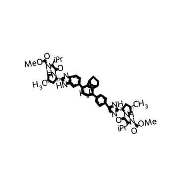 COC(=O)N[C@H](C(=O)N1C[C@@H](C)C[C@H]1c1ncc(-c2ccc(-c3ccc(-c4ccc5nc([C@@H]6C[C@H](C)CN6C(=O)[C@@H](NC(=O)OC)C(C)C)[nH]c5c4)c4c3C3CCC4CC3C)cc2)[nH]1)C(C)C